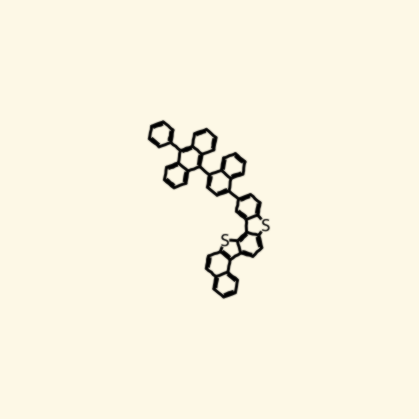 c1ccc(-c2c3ccccc3c(-c3ccc(-c4ccc5sc6ccc7c(sc8ccc9ccccc9c87)c6c5c4)c4ccccc34)c3ccccc23)cc1